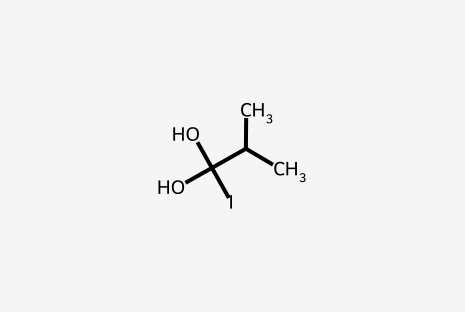 CC(C)C(O)(O)I